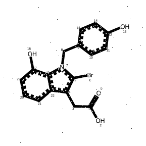 O=C(O)Cc1c(Br)n(Cc2ccc(O)cc2)c2c(O)cccc12